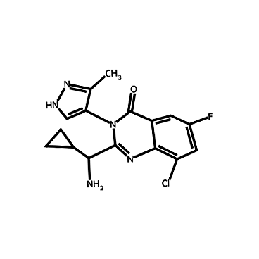 Cc1n[nH]cc1-n1c(C(N)C2CC2)nc2c(Cl)cc(F)cc2c1=O